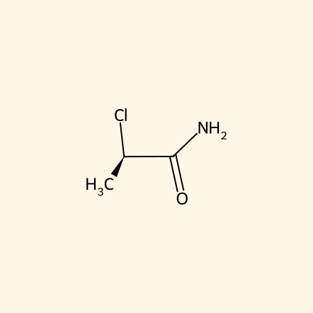 C[C@@H](Cl)C(N)=O